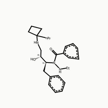 CCCC1(NC[C@@H](O)[C@H](Cc2ccccc2)N(NCC)C(=O)c2ccccc2)CCC1